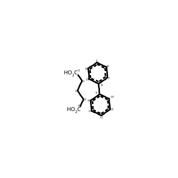 O=C(O)CCCC(=O)O.c1ccc(-c2ccccc2)cc1